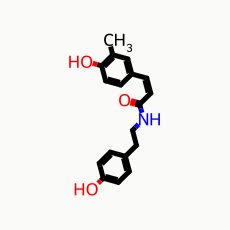 Cc1cc(/C=C\C(=O)NCCc2ccc(O)cc2)ccc1O